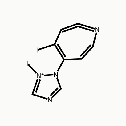 IC1=C(n2cnc[n+]2I)C=CN=C=C1